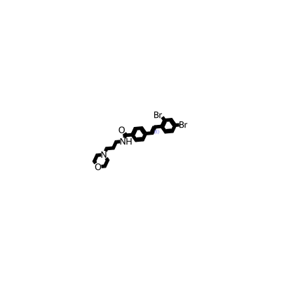 O=C(NCCCN1CCOCC1)c1ccc(/C=C/c2ccc(Br)cc2Br)cc1